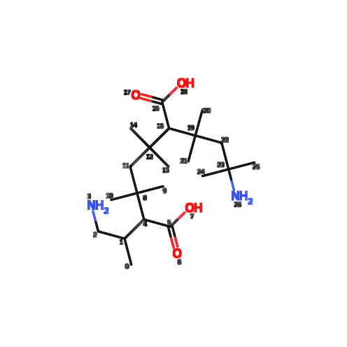 CC(CN)C(C(=O)O)C(C)(C)CC(C)(C)C(C(=O)O)C(C)(C)CC(C)(C)N